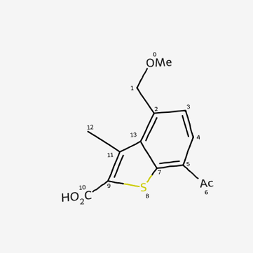 COCc1ccc(C(C)=O)c2sc(C(=O)O)c(C)c12